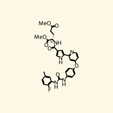 COC(=O)CC[C@H](NC(=O)c1c[nH]c(-c2cc(Oc3ccc(NC(=O)Nc4cc(C)ccc4F)cc3)ccn2)c1)C(=O)OC